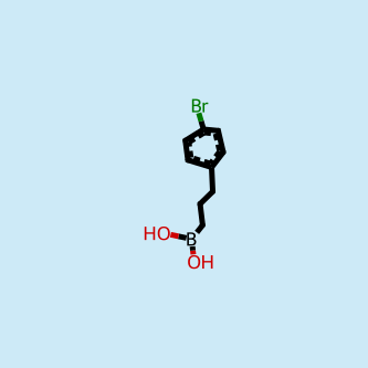 OB(O)CCCc1ccc(Br)cc1